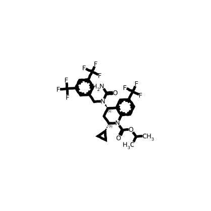 CC(C)OC(=O)N1c2ccc(C(F)(F)F)cc2[C@@H](N(Cc2cc(C(F)(F)F)cc(C(F)(F)F)c2)C(N)=O)C[C@H]1C1CC1